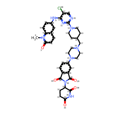 Cn1c(=O)ccc2cc(Nc3nc(N4CCC(CN5CCN(c6ccc7c(c6)C(=O)N(C6CCC(=O)NC6=O)C7=O)CC5)CC4)ncc3Cl)ccc21